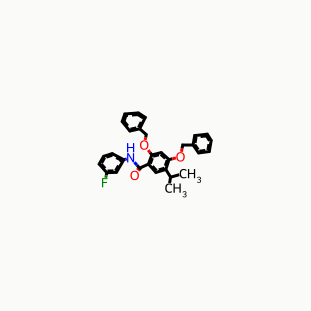 CC(C)c1cc(C(=O)Nc2cccc(F)c2)c(OCc2ccccc2)cc1OCc1ccccc1